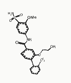 COc1cc(NC(=O)c2ccc(-c3ccccc3C(F)(F)F)c(OCCO)c2)ccc1S(N)(=O)=O